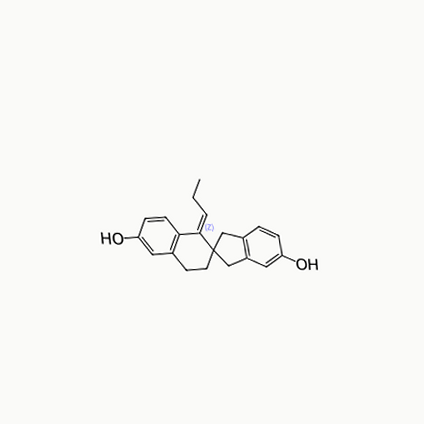 CC/C=C1\c2ccc(O)cc2CCC12Cc1ccc(O)cc1C2